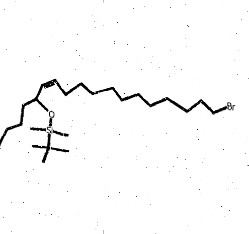 CCCCC(/C=C\CCCCCCCCCCCBr)O[Si](C)(C)C(C)(C)C